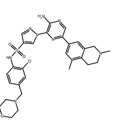 Cc1cc(-c2cnc(N)c(-n3cc(S(=O)(=O)Nc4ccc(CN5CCOCC5)cc4Cl)cn3)n2)cc2c1CCN(C)C2